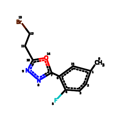 Cc1ccc(F)c(-c2nnc(CCBr)o2)c1